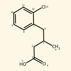 CC(CC(=O)O)Cc1ccccc1Cl